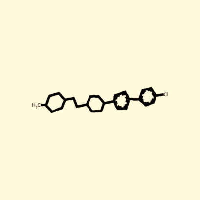 CC1CCC(CCC2CCC(c3ccc(-c4ccc(Cl)cc4)cc3)CC2)CC1